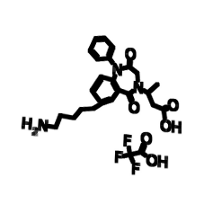 CC(CC(=O)O)N1CC(=O)N(c2ccccc2)c2ccc(CCCCCN)cc2C1=O.O=C(O)C(F)(F)F